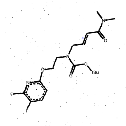 CN(C)C(=O)/C=C/CN(CCOc1ccc(I)c(F)n1)C(=O)OC(C)(C)C